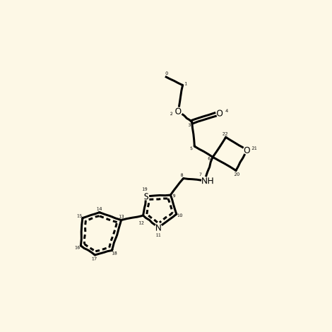 CCOC(=O)CC1(NCc2cnc(-c3ccccc3)s2)COC1